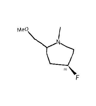 COCC1C[C@H](F)CN1C